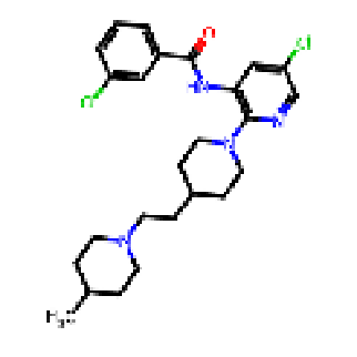 CC1CCN(CCC2CCN(c3ncc(Cl)cc3NC(=O)c3cccc(Cl)c3)CC2)CC1